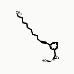 CCCCCCCCCCC#Cc1cccc(C2O[C@@H]2CO)c1